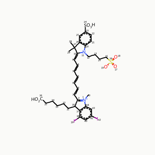 C[N+]1=C(C=CC=CC=CC=C2N(CCCCS(=O)(=O)[O-])c3ccc(S(=O)(=O)O)cc3C2(C)C)C(CCCCCC(=O)O)c2c(I)cc(I)cc21